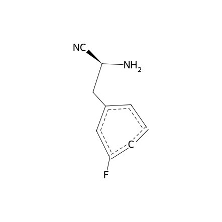 N#C[C@@H](N)Cc1cccc(F)c1